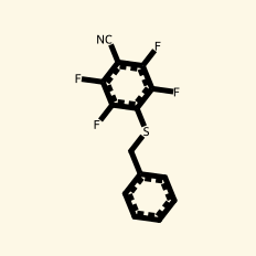 N#Cc1c(F)c(F)c(SCc2ccccc2)c(F)c1F